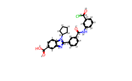 O=C(O)c1ccc2c(c1)nc(-c1cccc(C(=O)Nc3cccc(C(=O)Cl)c3)c1)n2C1CCCC1